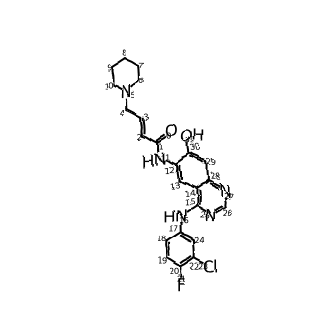 O=C(/C=C/CN1CCCCC1)Nc1cc2c(Nc3ccc(F)c(Cl)c3)ncnc2cc1O